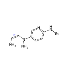 CCNc1ccc(N(N)/C=C\N)cn1